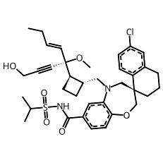 CC/C=C/[C@@](C#CCO)(OC)[C@@H]1CC[C@H]1CN1C[C@@]2(CCCc3cc(Cl)ccc32)COc2ccc(C(=O)NS(=O)(=O)C(C)C)cc21